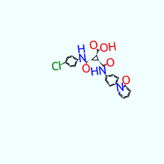 O=C(O)[C@@H]1[C@@H](C(=O)Nc2ccc(Cl)cc2)[C@@H]1C(=O)Nc1ccc(-n2ccccc2=O)cc1